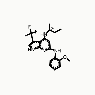 CC[C@H](C)Nc1cc(Nc2cc[c]cc2OC)nc2[nH]cc(C(F)(F)F)c12